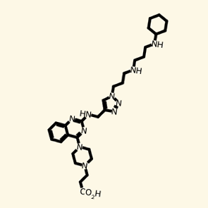 O=C(O)CCN1CCN(c2nc(NCc3cn(CCCNCCCNC4CCCCC4)nn3)nc3ccccc23)CC1